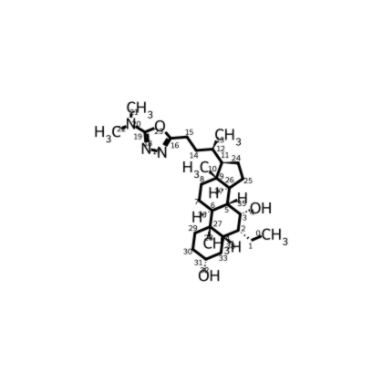 CC[C@H]1[C@@H](O)[C@@H]2[C@H](CC[C@]3(C)[C@@H]([C@H](C)CCc4nnc(N(C)C)o4)CC[C@@H]23)[C@@]2(C)CC[C@@H](O)C[C@@H]12